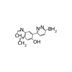 Bc1ccc(-c2cc(/N=C\C)c(C=C)cc2O)nn1